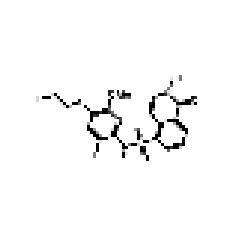 COc1nc(NS(=O)(=O)c2cccc3c(=O)n(C)ccc23)c(F)cc1OCCF